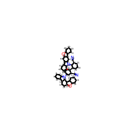 N#Cc1cc(-n2c3ccccc3c3ccc4oc5ccccc5c4c32)ccc1-c1cccc(C#N)c1-n1c2ccccc2c2cc3oc4ccccc4c3cc21